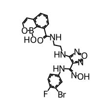 O=C(NCCNc1nonc1/C(=N\O)Nc1ccc(F)c(Br)c1)c1cccc2c1B(O)OC=C2